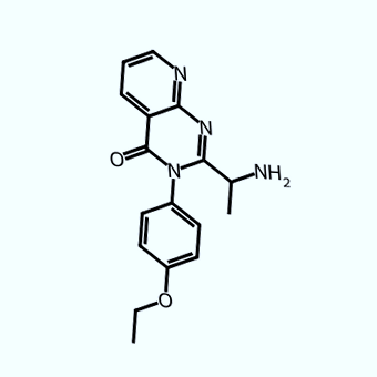 CCOc1ccc(-n2c(C(C)N)nc3ncccc3c2=O)cc1